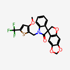 COc1cc(C(F)(F)F)sc1CN1C(=O)C2(COc3cc4c(cc32)OCO4)c2ccccc21